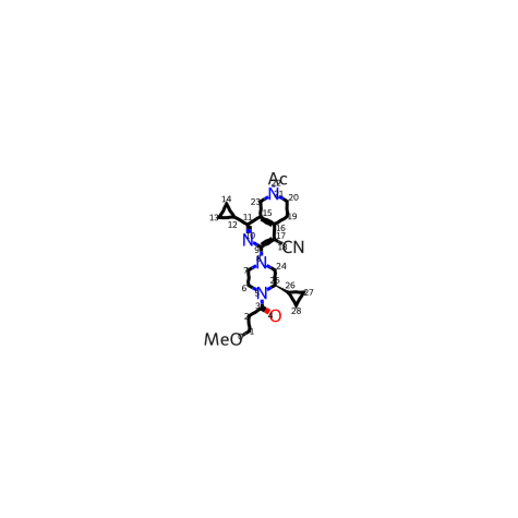 COCCC(=O)N1CCN(c2nc(C3CC3)c3c(c2C#N)CCN(C(C)=O)C3)C[C@H]1C1CC1